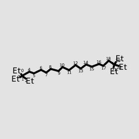 CCC(CC)(CC)CCCCCCCCCCCCCCCC(CC)(CC)CC